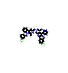 Cc1nc(CN(CCCN)Cc2cc3c4ccccc4n(Cc4cccc(Cl)c4)c3c(C)n2)cc2c3ccccc3n(Cc3cccc(Cl)c3)c12